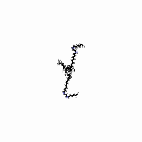 CCCCC/C=C\C/C=C\CCCCCCCCOC(=O)C[C@H](NC(=O)OCCCN(C)C)C(=O)OCCCCCCCC/C=C\C/C=C\CCCCC